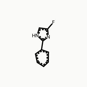 Fc1c[nH]c(-c2ccccc2)n1